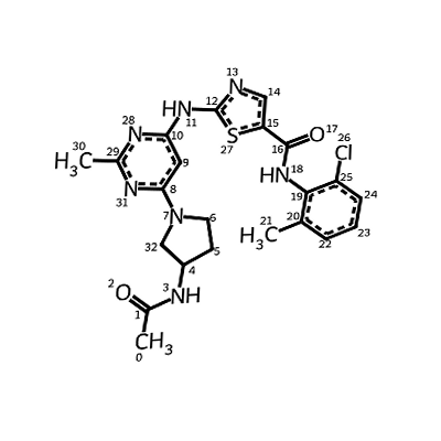 CC(=O)NC1CCN(c2cc(Nc3ncc(C(=O)Nc4c(C)cccc4Cl)s3)nc(C)n2)C1